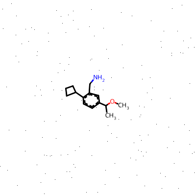 COC(C)c1ccc(C2CCC2)c(CN)c1